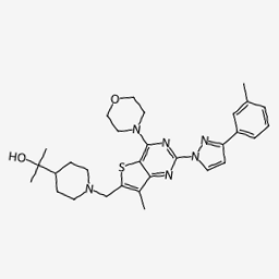 Cc1cccc(-c2ccn(-c3nc(N4CCOCC4)c4sc(CN5CCC(C(C)(C)O)CC5)c(C)c4n3)n2)c1